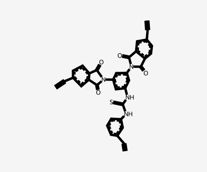 C#Cc1cccc(NC(=S)Nc2cc(N3C(=O)c4ccc(C#C)cc4C3=O)cc(N3C(=O)c4ccc(C#C)cc4C3=O)c2)c1